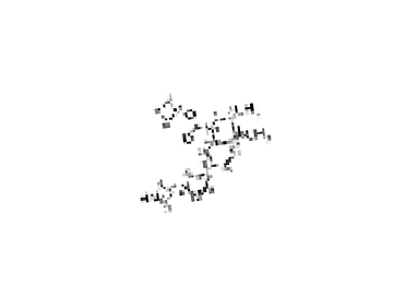 CC1CN(C(=O)OC2CCC2)c2cc(-c3cnn(C4CNC4)c3)ccc2N1C